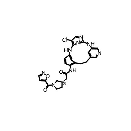 O=C(C[C@H]1CCN(C(=O)c2ccno2)C1)Nc1ccc2cc1CCc1cncc(c1)Nc1ncc(Cl)c(n1)N2